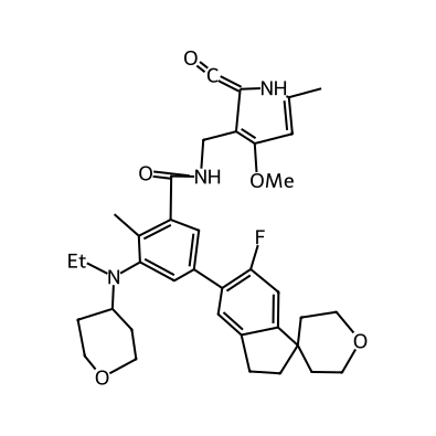 CCN(c1cc(-c2cc3c(cc2F)C2(CCOCC2)CC3)cc(C(=O)NCC2=C(OC)C=C(C)NC2=C=O)c1C)C1CCOCC1